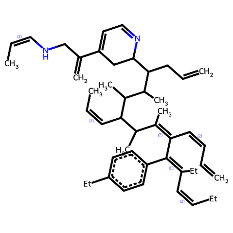 C=C\C=C/C(=C(\C)C(C)C(/C=C\C)C(C)C(C)C(CC=C)C1CC(C(=C)CN/C=C\C)=CC=N1)C(=C(/C=C\CC)CC)/c1ccc(CC)cc1